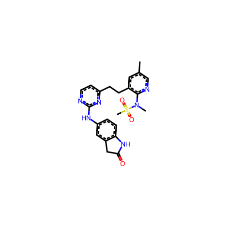 Cc1cnc(N(C)S(C)(=O)=O)c(CCc2ccnc(Nc3ccc4c(c3)CC(=O)N4)n2)c1